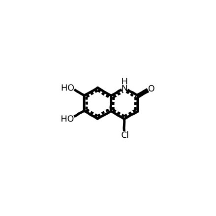 O=c1cc(Cl)c2cc(O)c(O)cc2[nH]1